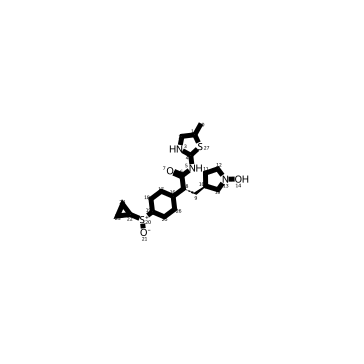 CC1CNC(NC(=O)[C@H](C[C@H]2CCN(O)C2)C2CCC([S+]([O-])C3CC3)CC2)S1